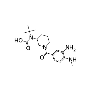 CNc1ccc(C(=O)N2CCCC(N(C(=O)O)C(C)(C)C)C2)cc1N